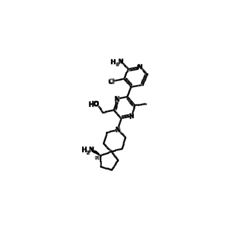 Cc1nc(N2CCC3(CCC[C@H]3N)CC2)c(CO)nc1-c1ccnc(N)c1Cl